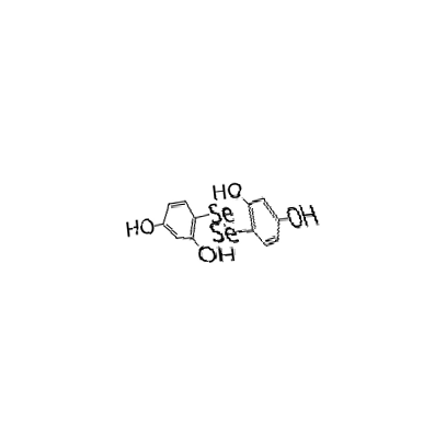 Oc1ccc([Se][Se]c2ccc(O)cc2O)c(O)c1